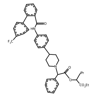 CCOC(=O)C(OC(=O)C(c1ccccc1)N1CCC(c2ccc(NC(=O)c3ccccc3-c3ccc(C(F)(F)F)cc3)cc2)CC1)C(C)C